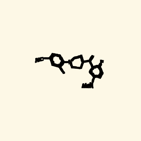 C=C(c1cc(NC)ccc1F)C1CCN(c2ccc(C#N)cc2C)CC1